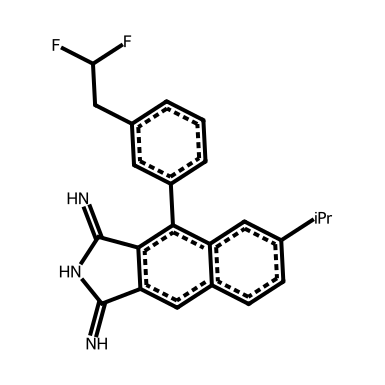 CC(C)c1ccc2cc3c(c(-c4cccc(CC(F)F)c4)c2c1)C(=N)NC3=N